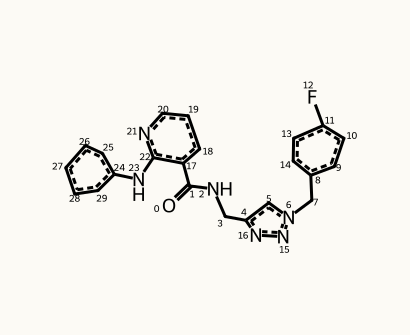 O=C(NCc1cn(Cc2ccc(F)cc2)nn1)c1cccnc1Nc1ccccc1